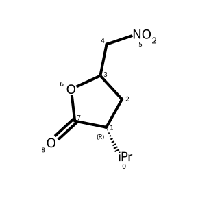 CC(C)[C@H]1CC(C[N+](=O)[O-])OC1=O